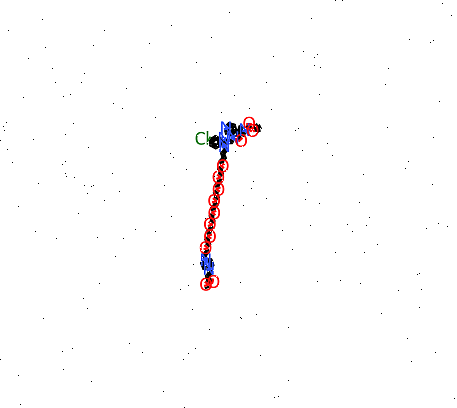 COC(=O)CCN1CCN(CCOCCOCCOCCOCCOCCOCCOCCOCCCCn2c(CN3C(=O)C4(CN(C(=O)OC(C)(C)C)C4)c4ccncc43)nc3cc(Cl)ccc32)CC1